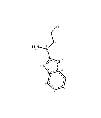 CCCN(N)c1nc2ccccc2s1